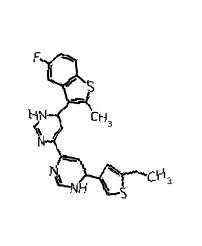 CCc1cc(C2C=C(C3=CC(c4c(C)sc5ccc(F)cc45)NC=N3)N=CN2)cs1